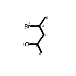 CC([O])CC(C)Br